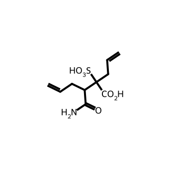 C=CCC(C(N)=O)C(CC=C)(C(=O)O)S(=O)(=O)O